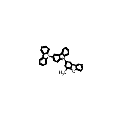 Cc1cc(-n2c3ccccc3c3cc(-n4c5ccccc5c5ccccc54)ccc32)cc2c1oc1ccccc12